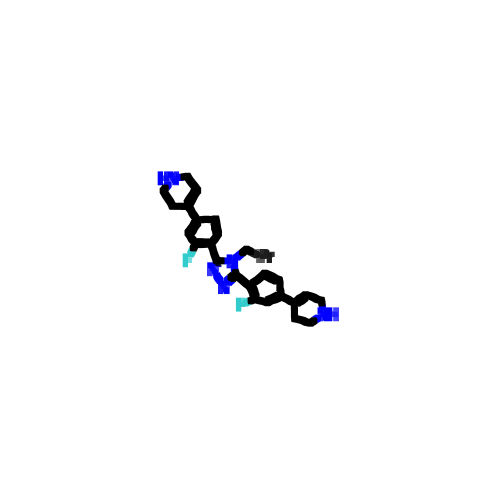 CC(C)Cn1c(-c2ccc(C3=CCNCC3)cc2F)nnc1-c1ccc(C2=CCNCC2)cc1F